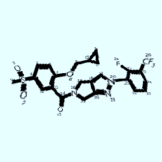 CS(=O)(=O)c1ccc(OCC2CC2)c(C(=O)N2Cc3cn(-c4cccc(C(F)(F)F)c4F)nc3C2)c1